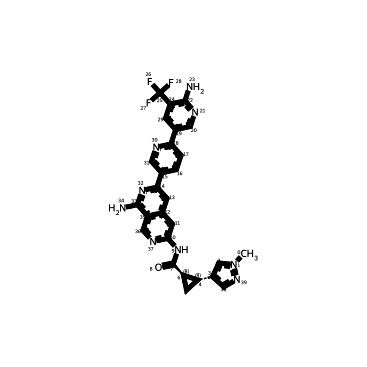 Cn1cc([C@@H]2C[C@H]2C(=O)Nc2cc3cc(-c4ccc(-c5cnc(N)c(C(F)(F)F)c5)nc4)nc(N)c3cn2)cn1